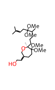 COC(CC=C(C)C)(OC)C(C)CCC[C@]1(C)OCC(=CCO)CCC1(OC)OC